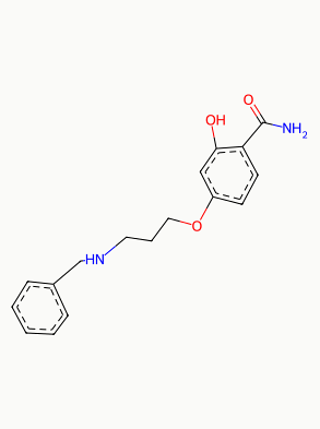 NC(=O)c1ccc(OCCCNCc2ccccc2)cc1O